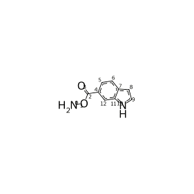 NOC(=O)c1ccc2cc[nH]c2c1